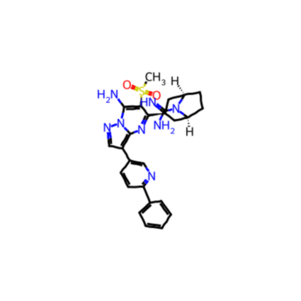 CS(=O)(=O)c1c([C@H]2C[C@H]3CC[C@@H](C2)N3C(=N)N)nc2c(-c3ccc(-c4ccccc4)nc3)cnn2c1N